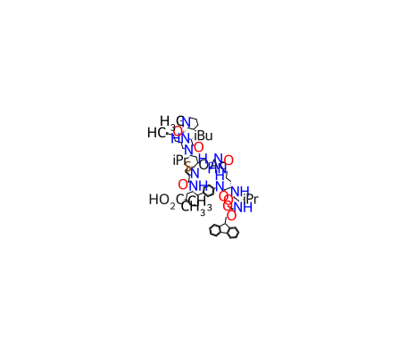 C#CCCCCN(C(=O)[C@@H](NC(=O)[C@H]1CCCCN1C)[C@@H](C)CC)[C@H](C[C@@H](OC(C)=O)c1nc(C(=O)N[C@@H](Cc2ccc(NC(=O)[C@H](CCCNC(N)=O)NC(=O)[C@@H](NC(=O)OCC3c4ccccc4-c4ccccc43)C(C)C)cc2)CC(C)(C)C(=O)O)cs1)C(C)C